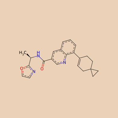 C[C@@H](NC(=O)c1cnc2c(C3=CCC4(CC3)CC4)cccc2c1)c1ncco1